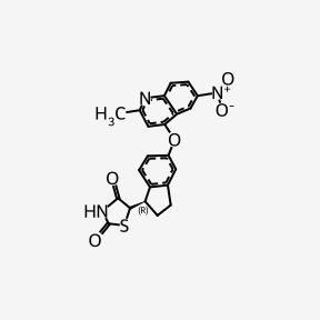 Cc1cc(Oc2ccc3c(c2)CC[C@H]3C2SC(=O)NC2=O)c2cc([N+](=O)[O-])ccc2n1